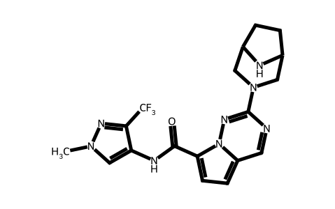 Cn1cc(NC(=O)c2ccc3cnc(N4CC5CCC(C4)N5)nn23)c(C(F)(F)F)n1